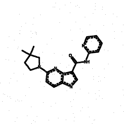 CC1(C)CCN(c2ccc3ncc(C(=O)Nc4ccccn4)n3n2)C1